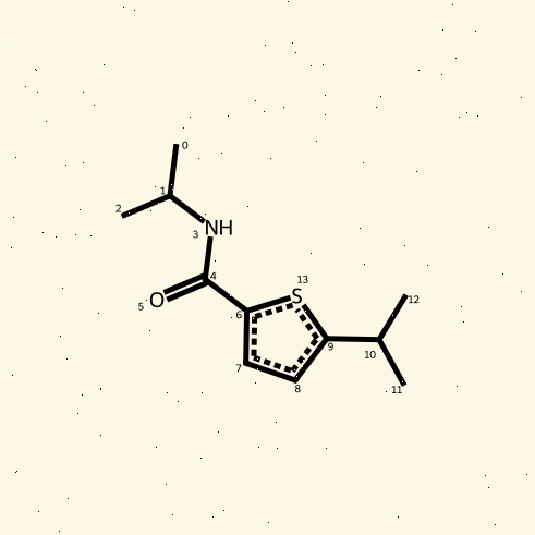 CC(C)NC(=O)c1ccc(C(C)C)s1